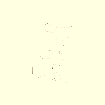 CC[C@@H]1CN2CC[C@@]3(OCCI)C(=Nc4cccc(OC)c43)[C@@H]2C[C@@H]1/C(=C\OC)C(=O)OC